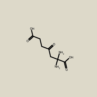 NC(N)(CC(=O)CCC(=O)O)C(=O)O